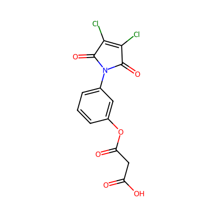 O=C(O)CC(=O)Oc1cccc(N2C(=O)C(Cl)=C(Cl)C2=O)c1